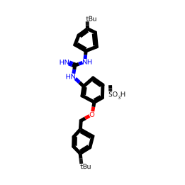 CC(C)(C)c1ccc(COc2cccc(NC(=N)Nc3ccc(C(C)(C)C)cc3)c2)cc1.CS(=O)(=O)O